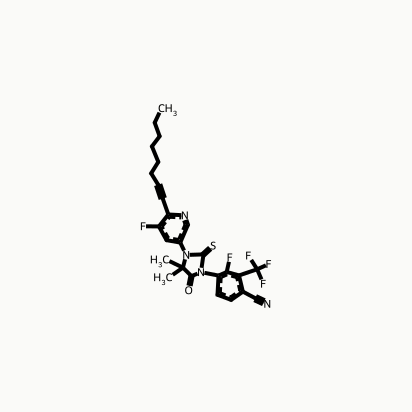 CCCCCCC#Cc1ncc(N2C(=S)N(c3ccc(C#N)c(C(F)(F)F)c3F)C(=O)C2(C)C)cc1F